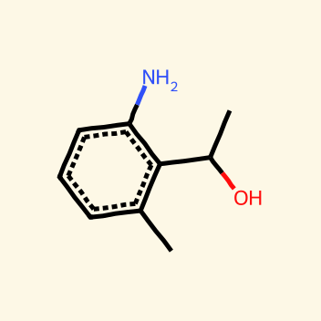 Cc1cccc(N)c1C(C)O